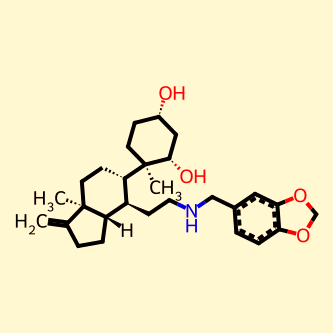 C=C1CC[C@H]2[C@H](CCNCc3ccc4c(c3)OCO4)[C@@H]([C@@]3(C)CC[C@H](O)C[C@@H]3O)CC[C@]12C